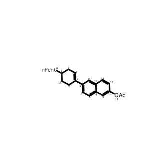 CCCCCC1CC=C(c2ccc3cc(OC(C)=O)ccc3c2)CC1